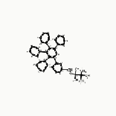 CC(C)(O)C(C)(C)OBc1cccc(-c2cc(-c3ccccc3)c(-c3ccccc3)c(-c3ccccc3)c2-c2ccccc2)c1